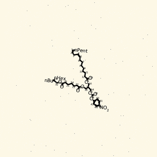 CCCCC/C=C\C/C=C\CCCCCCCC(=O)OCC(COC(=O)CCCCCC(=O)OCC(CCCC)CCCCCC)COC(=O)Oc1ccc([N+](=O)[O-])cc1